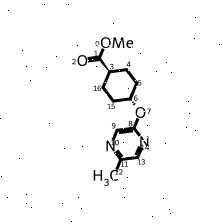 COC(=O)[C@H]1CC[C@H](Oc2cnc(C)cn2)CC1